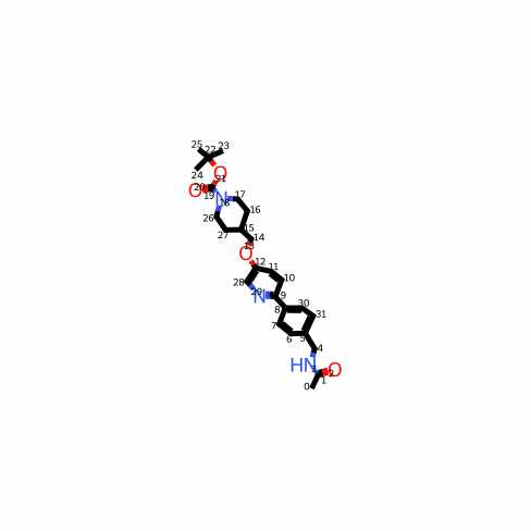 CC(=O)NCc1ccc(-c2ccc(OCC3CCN(C(=O)OC(C)(C)C)CC3)cn2)cc1